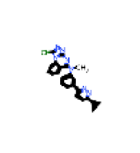 CN(c1cccc(-c2ccc(C3CC3)nn2)c1)c1nc2nnc(Cl)n2c2ccccc12